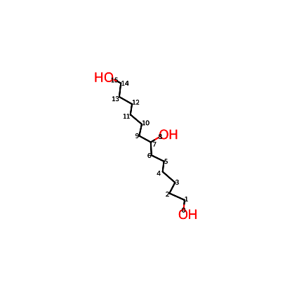 OCCCCCCC(O)CCCCCCO